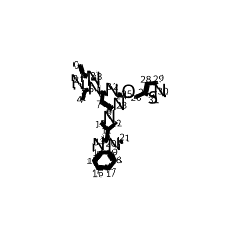 Cc1nc(C)n(-c2cc(N3CC(c4nc5ccccc5n4C)C3)nc(OCc3ccns3)n2)n1